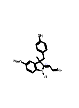 CCN1/C(=C\C=N)C(C)(Cc2ccc(S)cc2)c2cc(OC)ccc21